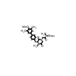 CCCCCCN(C)C(=O)CN1CC(=O)N(C)[C@@H](Cc2ccc(-c3cc(C)c(OC)c(C)c3)cc2)C1=O